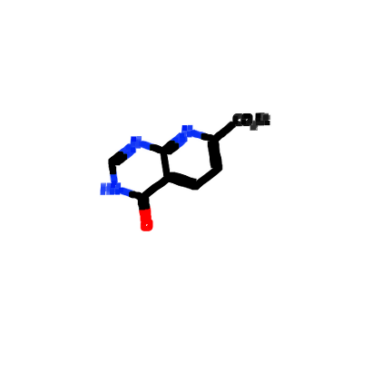 CCOC(=O)c1ccc2c(=O)[nH]cnc2n1